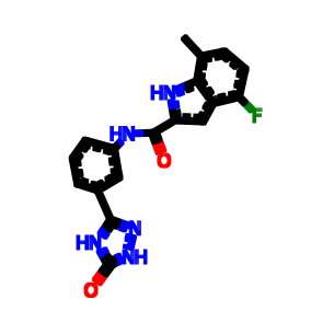 Cc1ccc(F)c2cc(C(=O)Nc3cccc(-c4n[nH]c(=O)[nH]4)c3)[nH]c12